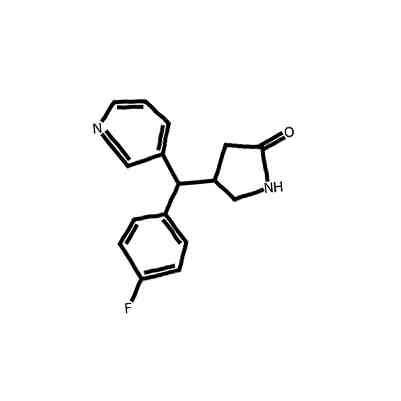 O=C1CC(C(c2ccc(F)cc2)c2cccnc2)CN1